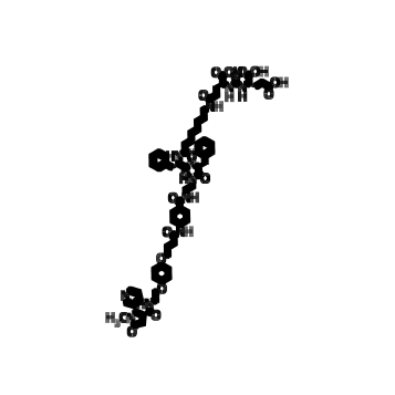 CN1C(=O)C[C@H](C(=O)NCCOC2CCC(OCCCC(=O)NC3CCC(C(=O)NCCNC(=O)[C@H](Cc4ccccc4)NC(=O)[C@H](Cc4ccccc4)NC(=O)CCCCCCCNC(=O)CC[C@H](NC(=O)N[C@@H](CCC(=O)O)C(=O)O)C(=O)O)CC3)CC2)[C@H]1c1cccnc1